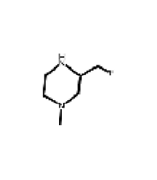 CN1CCNC(CF)C1